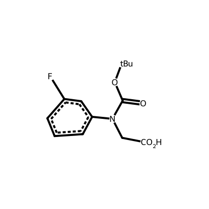 CC(C)(C)OC(=O)N(CC(=O)O)c1cccc(F)c1